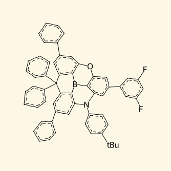 CC(C)(C)c1ccc(N2c3cc(-c4cc(F)cc(F)c4)cc4c3B3c5c(cc(-c6ccccc6)cc5C(c5ccccc5)(c5ccccc5)c5cc(-c6ccccc6)cc2c53)O4)cc1